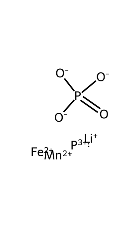 O=P([O-])([O-])[O-].[Fe+2].[Li+].[Mn+2].[P+3]